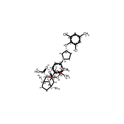 Cc1cc(Cl)c(O[C@@H]2CCN(c3ccc([C@H]4C[C@H]5CC[C@@H]([C@@H]4C(=O)O)N5C(=O)OC(C)(C)C)cn3)C2)c(Cl)c1